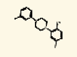 Cc1cccc(N2CCN(c3cc(C(F)(F)F)ccc3C#N)CC2)c1